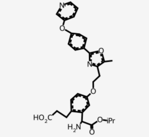 Cc1oc(-c2ccc(Oc3cccnc3)cc2)nc1CCOc1ccc(CCC(=O)O)c(C(N)C(=O)OC(C)C)c1